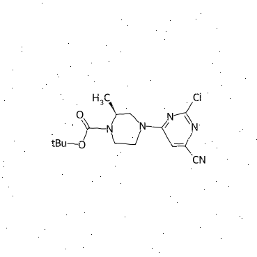 C[C@H]1CN(c2cc(C#N)nc(Cl)n2)CCN1C(=O)OC(C)(C)C